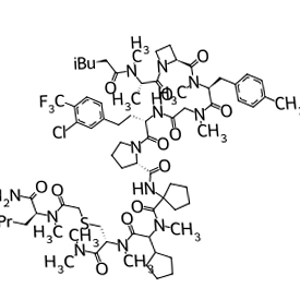 CC[C@H](C)CC(=O)N(C)[C@@H](C)C(=O)N1CC[C@H]1C(=O)N(C)[C@@H](Cc1ccc(C)cc1)C(=O)N(C)CC(=O)N[C@@H](CCc1ccc(C(F)(F)F)c(Cl)c1)C(=O)N1CCC[C@H]1C(=O)NC1(C(=O)N(C)C(C(=O)N(C)[C@@H](CSCC(=O)N(C)[C@@H](CC(C)C)C(N)=O)C(=O)N(C)C)C2CCCC2)CCCC1